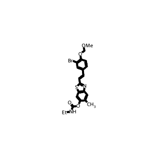 CCNC(=O)Oc1cc2sc(C=Cc3ccc(OCOC)c(Br)c3)nc2cc1C